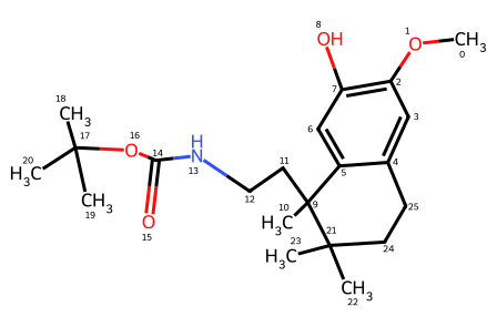 COc1cc2c(cc1O)C(C)(CCNC(=O)OC(C)(C)C)C(C)(C)CC2